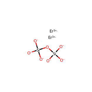 [Er+3].[Er+3].[O-][Si]([O-])([O-])O[Si]([O-])([O-])[O-]